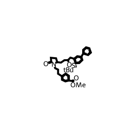 COC(=O)c1ccc(CCCN2C(=O)CCC2CCC(Cc2cccc(-c3ccccc3)c2)O[Si](C)(C)C(C)(C)C)cc1